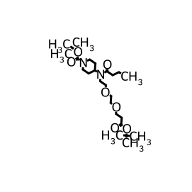 CCCC(=O)N(CCOCCOCCC(=O)OC(C)(C)C)C1CCN(C(=O)OC(C)(C)C)CC1